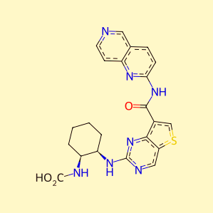 O=C(O)N[C@H]1CCCC[C@H]1Nc1ncc2scc(C(=O)Nc3ccc4cnccc4n3)c2n1